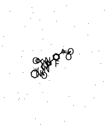 COC(=O)[C@@H]1CC1c1ccc(-c2cc3nc(C(=O)N4CCCCC[C@H]4C)cc(C4(C)COC4)n3n2)c(F)c1